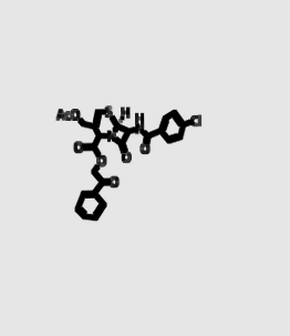 CC(=O)OCC1=CS[C@H]2C(NC(=O)c3ccc(Cl)cc3)C(=O)N2C1C(=O)OCC(=O)c1ccccc1